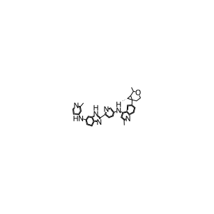 Cc1cc(Nc2ccc3nc(-c4ccc(Nc5cc(C)nc6ccc(C78CCOC(C)C7[C@H]8C)cc56)cn4)[nH]c3c2)ccn1